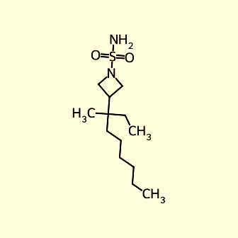 CCCCCCC(C)(CC)C1CN(S(N)(=O)=O)C1